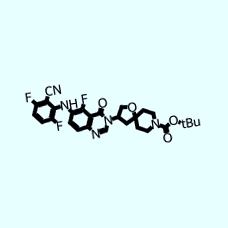 CC(C)(C)OC(=O)N1CCC2(CC1)CC(n1cnc3ccc(Nc4c(F)ccc(F)c4C#N)c(F)c3c1=O)CO2